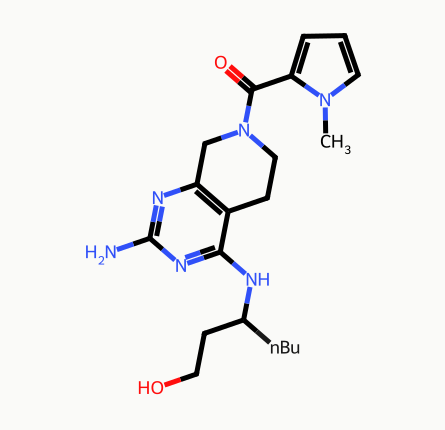 CCCCC(CCO)Nc1nc(N)nc2c1CCN(C(=O)c1cccn1C)C2